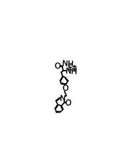 CCNC(Cc1ccc(OCCn2ccc3ccccc3c2=O)cc1)C(N)=O